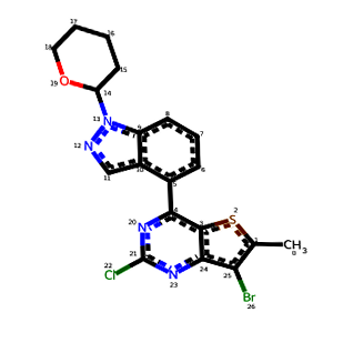 Cc1sc2c(-c3cccc4c3cnn4C3CCCCO3)nc(Cl)nc2c1Br